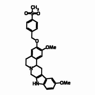 COc1ccc2[nH]c3c(c2c1)CC1c2cc(OC)c(OCc4ccc(S(C)(=O)=O)cc4)cc2CCN1C3